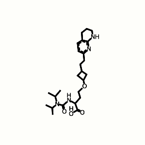 CC(C)N(C(=O)NC(CCOC1CC(CCc2ccc3c(n2)NCCC3)C1)C(=O)O)C(C)C